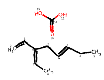 C=CC(=CC)CC=CCC.O=C(O)O